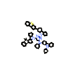 CC1(C)c2ccccc2-c2ccc3c(c21)c1ccccc1n3-c1cc(N(c2ccccc2)c2ccc3c4ccccc4n(-c4ccccc4)c3c2)nc(-n2c3ccccc3c3ccc(-c4ccc5c(c4)sc4ccccc45)cc32)n1